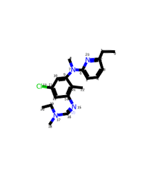 CCc1cccc(N(C)c2cc(Cl)cc(/N=C\N(C)CC)c2C)n1